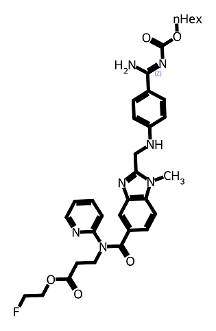 CCCCCCOC(=O)/N=C(\N)c1ccc(NCc2nc3cc(C(=O)N(CCC(=O)OCCF)c4ccccn4)ccc3n2C)cc1